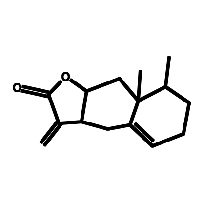 C=C1C(=O)OC2CC3(C)C(=CCCC3C)CC12